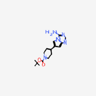 CC(C)(C)OC(=O)N1CCC(c2cc3ncnc(N)n3c2)CC1